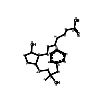 CC(O)(CSC1CCC(O)C1CCCCCCC(=O)O)Cc1ccccc1